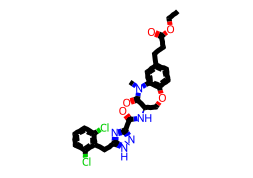 CCOC(=O)CCc1ccc2c(c1)N(C)C(=O)[C@@H](NC(=O)c1n[nH]c(Cc3c(Cl)cccc3Cl)n1)CO2